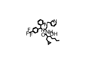 CCCCC(O)C(CC1CC1)C(=O)NC1CN(Cc2cccnc2)c2ccccc2C(c2ccc(C(F)(F)F)cc2)=N1